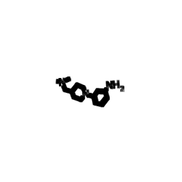 CN(C)CC1CCN(c2cccc(N)c2)CC1